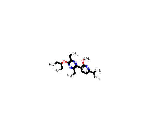 CCc1nc(-c2ccc(C(C)C)nc2OC)c(CC)nc1OC(CC)CC